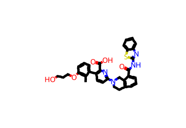 Cc1c(OCCCO)cccc1-c1ccc(N2CCc3cccc(C(=O)Nc4nc5ccccc5s4)c3C2)nc1C(=O)O